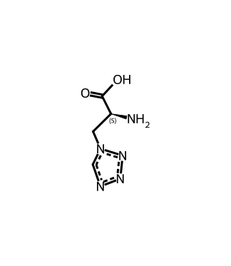 N[C@@H](Cn1cnnn1)C(=O)O